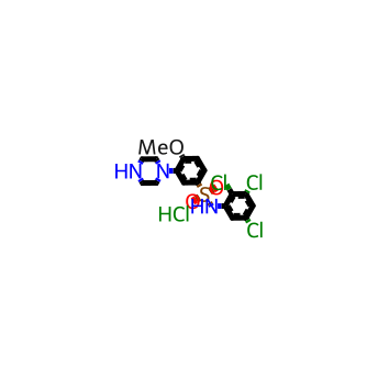 COc1ccc(S(=O)(=O)Nc2cc(Cl)cc(Cl)c2Cl)cc1N1CCNCC1.Cl